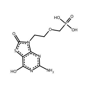 Nc1nc(O)c2sc(=O)n(CCOCP(=O)(O)O)c2n1